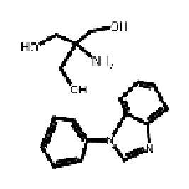 NC(CO)(CO)CO.c1ccc(-n2cnc3ccccc32)cc1